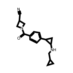 N#CC1CN(C(=O)c2ccc(C3CC3NCC3CC3)cc2)C1